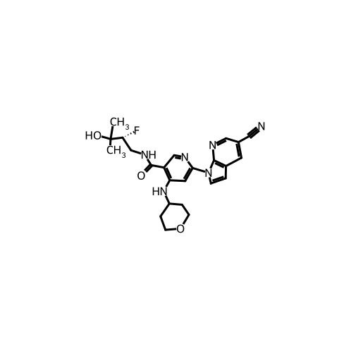 CC(C)(O)[C@H](F)CNC(=O)c1cnc(-n2ccc3cc(C#N)cnc32)cc1NC1CCOCC1